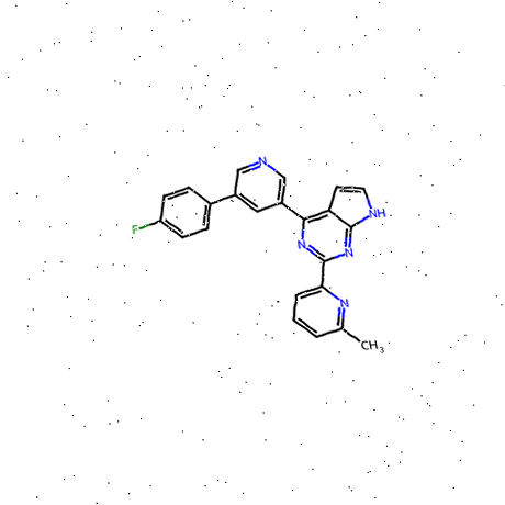 Cc1cccc(-c2nc(-c3cncc(-c4ccc(F)cc4)c3)c3cc[nH]c3n2)n1